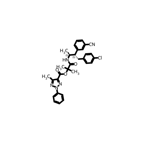 Cc1nn(-c2ccccc2)nc1C(=O)OC(C)(C)C(=O)N[C@@H](C)[C@@H](Cc1ccc(Cl)cc1)c1cccc(C#N)c1